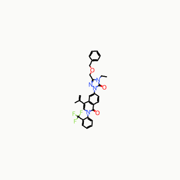 C=C(C)c1cn(-c2ccccc2C(F)(F)F)c(=O)c2ccc(-n3nc(COCc4ccccc4)n(CC)c3=O)cc12